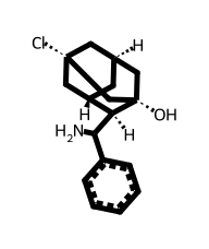 NC(c1ccccc1)[C@H]1[C@H]2C[C@H]3C[C@](Cl)(C2)C[C@@]1(O)C3